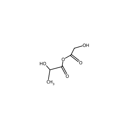 CC(O)C(=O)OC(=O)CO